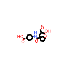 COCC(CC1(C(=O)N[C@H]2CC[C@@H](C(=O)O)CC2)CCCC1)C(=O)O